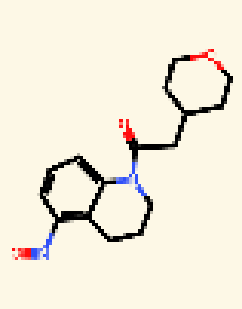 O=Nc1cccc2c1CCCN2C(=O)CC1CCOCC1